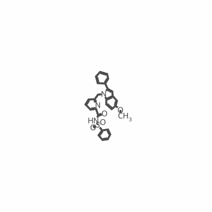 COc1ccc2c(c1)cc(-c1ccccc1)n2Cc1cccc(C(=O)NS(=O)(=O)c2ccccc2)n1